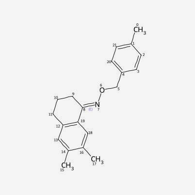 Cc1ccc(CO/N=C2\CCCc3cc(C)c(C)cc32)cc1